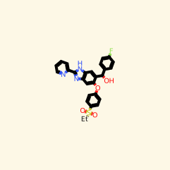 CCS(=O)(=O)c1ccc(Oc2cc3nc(-c4ccccn4)[nH]c3cc2C(O)c2ccc(F)cc2)cc1